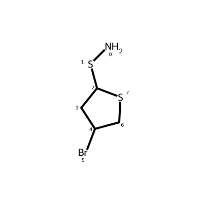 NSC1CC(Br)CS1